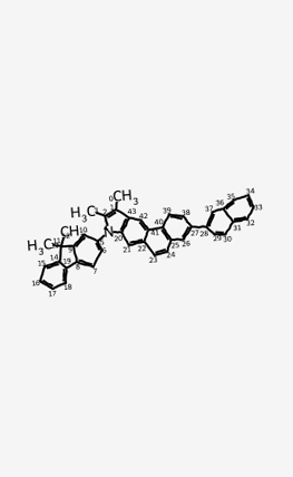 Cc1c(C)n(-c2ccc3c(c2)C(C)(C)c2ccccc2-3)c2cc3ccc4cc(-c5ccc6ccccc6c5)ccc4c3cc12